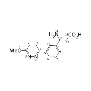 COc1ccc(-c2cccc(C(N)CC(=O)O)c2)nn1